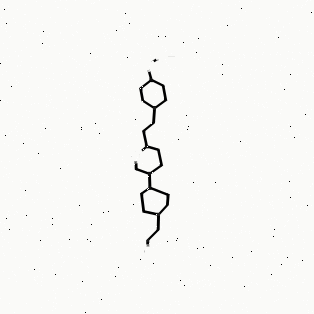 CCCC1CCC(C2CCC(CCC3CCC(OC)CC3)OC2)CC1